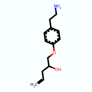 C=CCC(O)COc1ccc(CCN)cc1